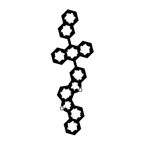 c1ccc2cc(-c3c4ccccc4c(-c4ccc5oc6c(ccc7oc8c9ccccc9ccc8c76)c5c4)c4ccccc34)ccc2c1